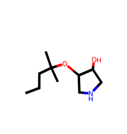 CCCC(C)(C)OC1CNCC1O